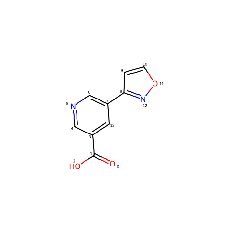 O=C(O)c1cncc(-c2ccon2)c1